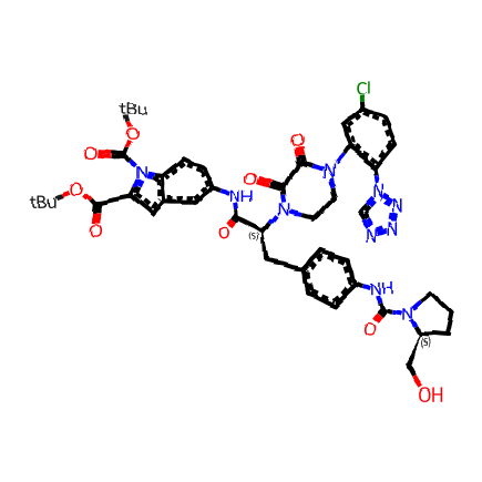 CC(C)(C)OC(=O)c1cc2cc(NC(=O)[C@H](Cc3ccc(NC(=O)N4CCC[C@H]4CO)cc3)N3CCN(c4cc(Cl)ccc4-n4cnnn4)C(=O)C3=O)ccc2n1C(=O)OC(C)(C)C